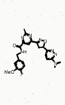 COc1cc(CNC(=O)c2cc(C3=NOC(c4ccc(N(C)C)nn4)C3)nc(C)n2)ccc1F